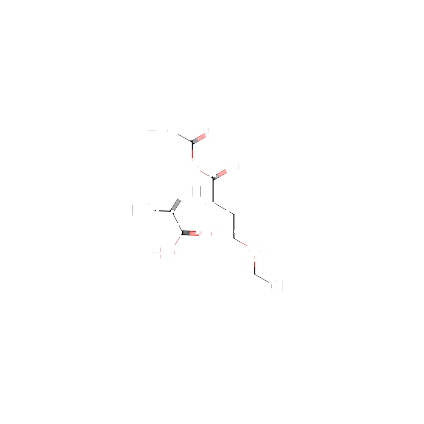 C=C(C)C(=O)O.CCOCCCC(=O)OC(C)=O